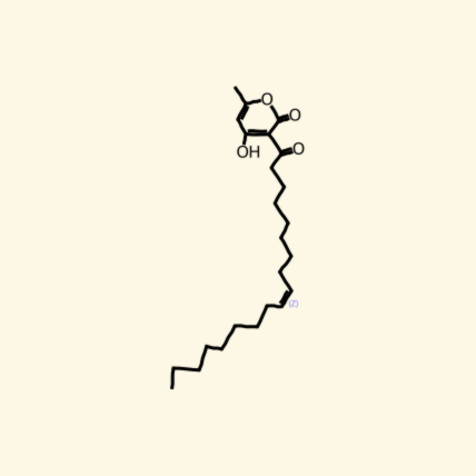 CCCCCCCC/C=C\CCCCCCCC(=O)c1c(O)cc(C)oc1=O